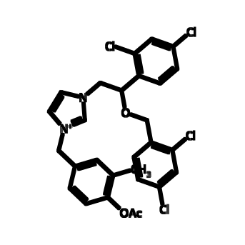 CC(=O)Oc1ccc(C[n+]2ccn(CC(OCc3ccc(Cl)cc3Cl)c3ccc(Cl)cc3Cl)c2)cc1C